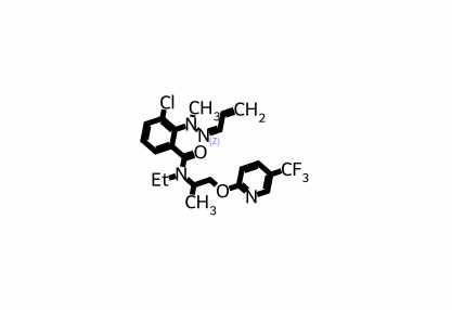 C=C/C=N\N(C)c1c(Cl)cccc1C(=O)N(CC)C(C)COc1ccc(C(F)(F)F)cn1